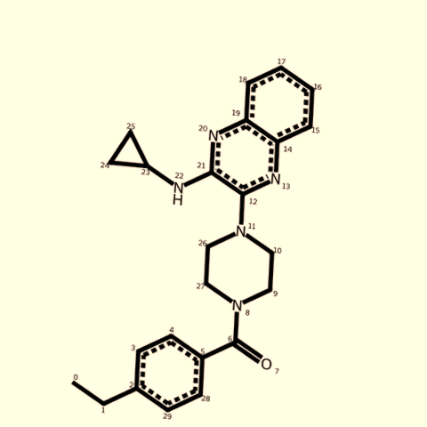 CCc1ccc(C(=O)N2CCN(c3nc4ccccc4nc3NC3CC3)CC2)cc1